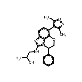 Cc1noc(C)c1-c1ccc2nc(NCC(C)O)n3c2c1OCC3c1ccccc1